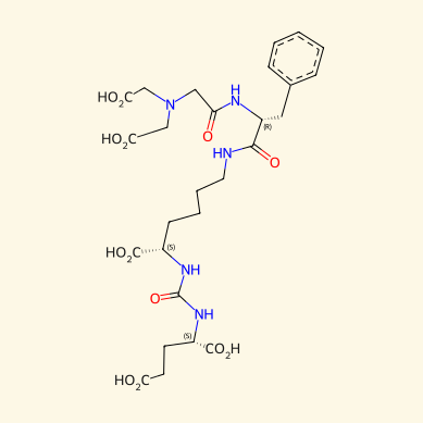 O=C(O)CC[C@H](NC(=O)N[C@@H](CCCCNC(=O)[C@@H](Cc1ccccc1)NC(=O)CN(CC(=O)O)CC(=O)O)C(=O)O)C(=O)O